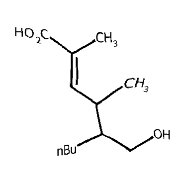 CCCCC(CO)C(C)C=C(C)C(=O)O